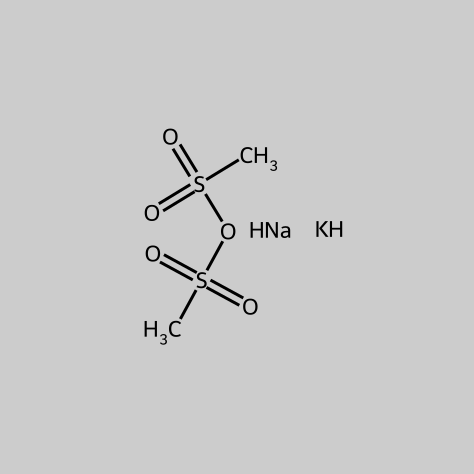 CS(=O)(=O)OS(C)(=O)=O.[KH].[NaH]